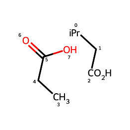 CC(C)CC(=O)O.CCC(=O)O